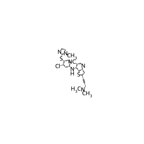 CN(C)CC#Cc1cc2ncc(C#N)c(Nc3ccc(Sc4nccn4C)c(Cl)c3)c2s1